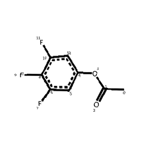 CC(=O)Oc1cc(F)c(F)c(F)c1